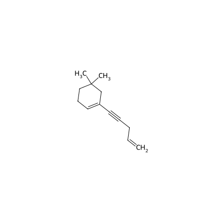 C=CCC#CC1=CCCC(C)(C)C1